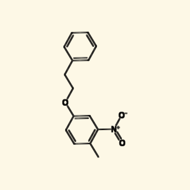 Cc1ccc(OCCc2ccccc2)cc1[N+](=O)[O-]